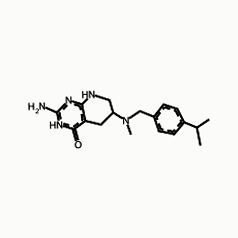 CC(C)c1ccc(CN(C)C2CNc3nc(N)[nH]c(=O)c3C2)cc1